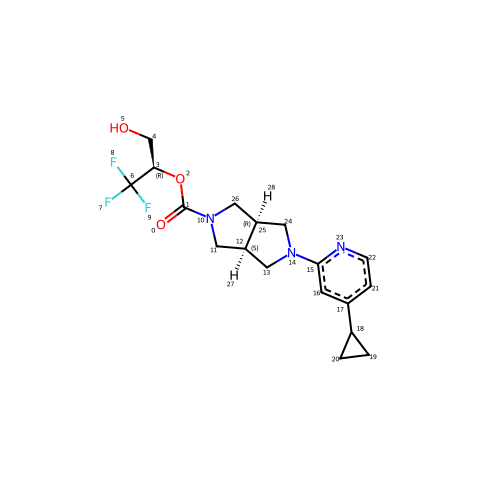 O=C(O[C@H](CO)C(F)(F)F)N1C[C@@H]2CN(c3cc(C4CC4)ccn3)C[C@@H]2C1